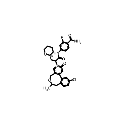 CC1Cc2ccc(Cl)cc2-c2cc(=O)n(C(C[C@@H]3CCCCO3)C(=O)Nc3ccc(C(N)=O)c(F)c3)cc2CO1